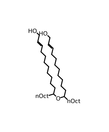 CCCCCCCCC(CCCCCCCCC=CCO)OC(CCCCCCCC)CCCCCCCCC=CCO